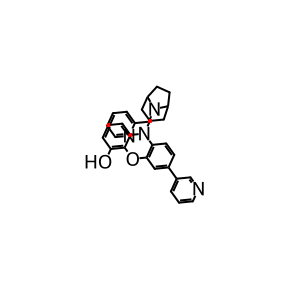 Oc1cccc2c1Oc1cc(-c3cccnc3)ccc1N2C1CC2CCC(C1)N2Cc1ccccn1